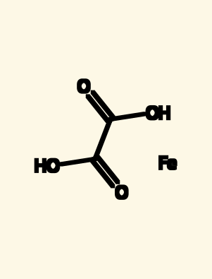 O=C(O)C(=O)O.[Fe]